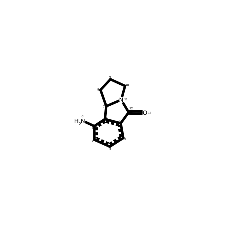 Nc1cccc2c1C1CCCN1C2=O